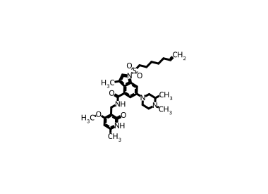 C=CCCCCCS(=O)(=O)n1cc(C)c2c(C(=O)NCc3c(OC)cc(C)[nH]c3=O)cc(N3CCN(C)C(C)C3)cc21